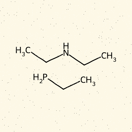 CCNCC.CCP